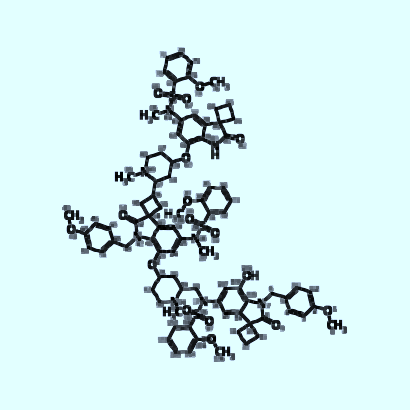 COc1ccc(CN2C(=O)C3(CCC3)c3cc(N(CC4CC(Oc5cc(N(C)S(=O)(=O)c6ccccc6OC)cc6c5N(Cc5ccc(OC)cc5)C(=O)C65CC(C6CC(Oc7cc(N(C)S(=O)(=O)c8ccccc8OC)cc8c7NC(=O)C87CCC7)CCN6C)C5)CCN4C)S(=O)(=O)c4ccccc4OC)cc(O)c32)cc1